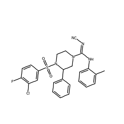 Cc1ccccc1N/C(=N/C#N)N1CCN(S(=O)(=O)c2ccc(F)c(Cl)c2)C(c2ccccc2)C1